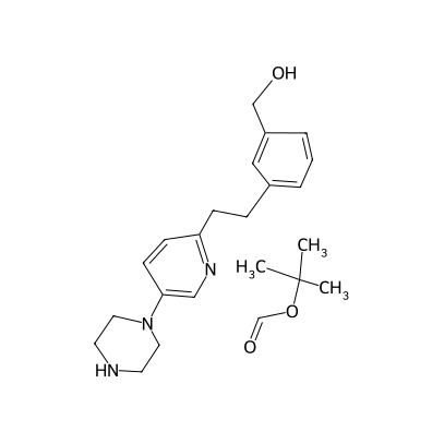 CC(C)(C)OC=O.OCc1cccc(CCc2ccc(N3CCNCC3)cn2)c1